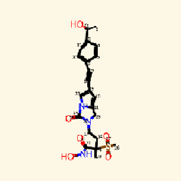 C[C@H](O)c1ccc(C#Cc2cc3n(c2)C(=O)N(CCC(C)(C(=O)NO)S(C)(=O)=O)C3)cc1